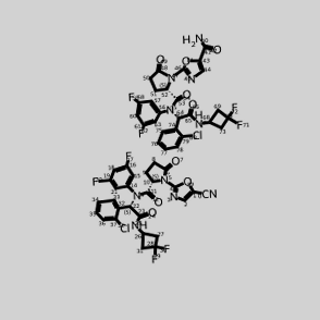 N#Cc1cnc(N2C(=O)CC[C@H]2C(=O)N(c2cc(F)cc(F)c2)[C@H](C(=O)NC2CC(F)(F)C2)c2ccccc2Cl)o1.NC(=O)c1cnc(N2C(=O)CC[C@H]2C(=O)N(c2cc(F)cc(F)c2)[C@H](C(=O)NC2CC(F)(F)C2)c2ccccc2Cl)o1